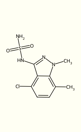 Cc1ccc(Cl)c2c(NS(N)(=O)=O)nn(C)c12